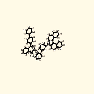 CN1c2ccccc2C(c2ccc(C3C=CC=CC3)cc2)=NC1n1c2ccccc2c2cc(-n3c4c(c5c6ccccc6ccc53)-c3ccccc3CC4)ccc21